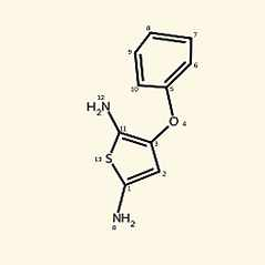 Nc1cc(Oc2ccccc2)c(N)s1